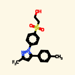 Cc1ccc(-c2cc(C(F)(F)F)nn2-c2ccc(S(=O)(=O)CCO)cc2)cc1